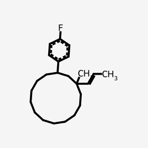 C/C=C/C1(C)CCCCCCCCCCCC(c2ccc(F)cc2)C1